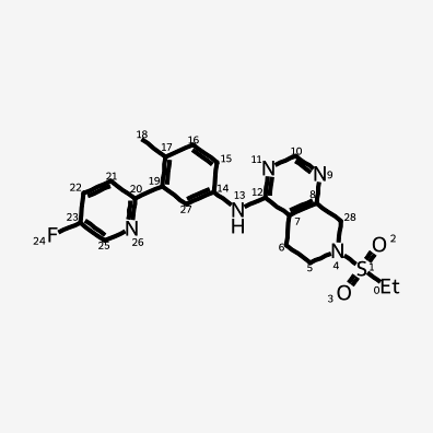 CCS(=O)(=O)N1CCc2c(ncnc2Nc2ccc(C)c(-c3ccc(F)cn3)c2)C1